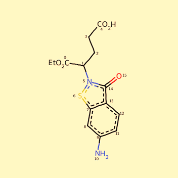 CCOC(=O)C(CCC(=O)O)n1sc2cc(N)ccc2c1=O